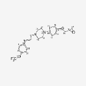 FC(F)(F)Oc1ccc(C=CCN2CCN(c3ccc(OCC4CO4)cc3)CC2)cc1